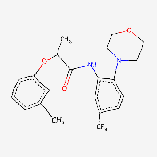 Cc1cccc(OC(C)C(=O)Nc2cc(C(F)(F)F)ccc2N2CCOCC2)c1